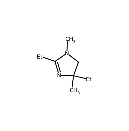 CCC1=NC(C)(CC)CN1C